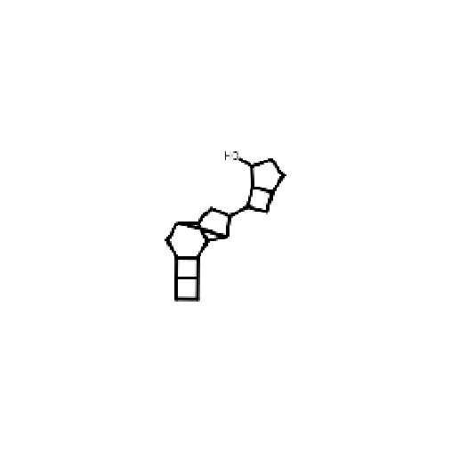 OC1CCC2CC(C3CC4C5CC6C7CCC7C6C4C35)C12